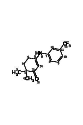 CC1(C)CCC(Nc2cccc(C(F)(F)F)c2)=CC1=O